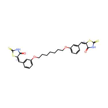 O=C1NC(=S)S/C1=C/c1cccc(OCCCCCCCOc2cccc(/C=C3/SC(=S)NC3=O)c2)c1